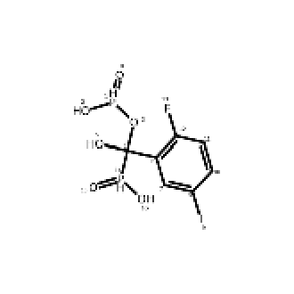 O=[PH](O)OC(O)(c1cc(I)ccc1F)[PH](=O)O